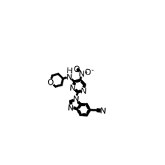 N#Cc1ccc2ncn(-c3ncc([N+](=O)[O-])c(NC4CCOCC4)n3)c2c1